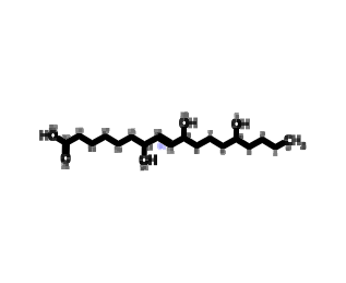 CCCCC(O)CCCC(O)/C=C/C(O)CCCCCC(=O)O